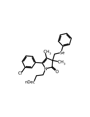 CCCCCCCCCCCCN1C(=O)C(C)(C[Se]c2ccccc2)C(C)=C1c1cccc(Cl)c1